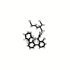 [CH]c1cccc(-c2cccc3c2[nH]c2ccccc23)c1[C]C#[N+]CC(CC)CCCC